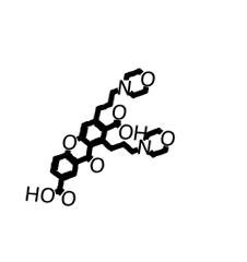 O=C(O)c1ccc2oc3cc(CCCN4CCOCC4)c(C(=O)O)c(CCCN4CCOCC4)c3c(=O)c2c1